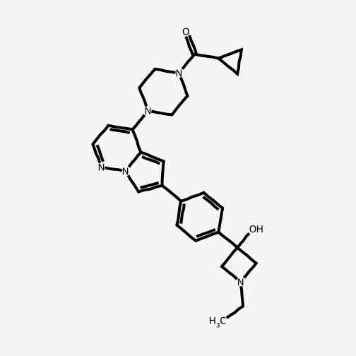 CCN1CC(O)(c2ccc(-c3cc4c(N5CCN(C(=O)C6CC6)CC5)ccnn4c3)cc2)C1